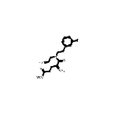 C=CCN(CCc1cccc(F)c1)C(=O)C(=C)CCC(=O)OC